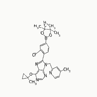 Cc1ccnc(Cn2c(-c3ccc(B4OC(C)(C)C(C)(C)O4)cc3Cl)nc3c(OC4(C)CC4)ncnc32)c1